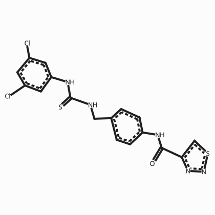 O=C(Nc1ccc(CNC(=S)Nc2cc(Cl)cc(Cl)c2)cc1)c1csnn1